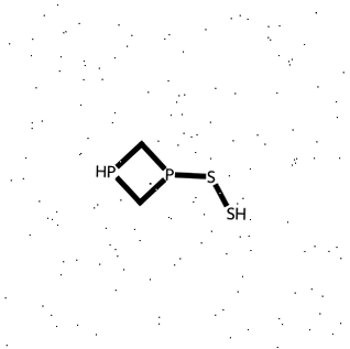 SSP1CPC1